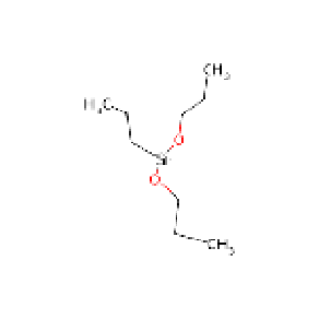 CCCO[Si](CCC)OCCC